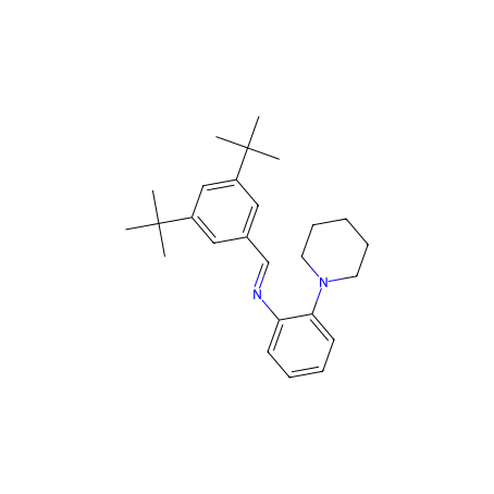 CC(C)(C)c1cc(/C=N/c2ccccc2N2CCCCC2)cc(C(C)(C)C)c1